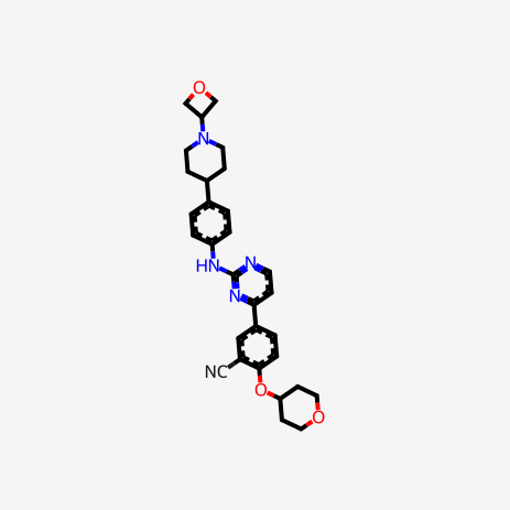 N#Cc1cc(-c2ccnc(Nc3ccc(C4CCN(C5COC5)CC4)cc3)n2)ccc1OC1CCOCC1